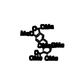 COC(=O)c1cc(Cc2cc(C(=O)OC)c(OC)cc2OC)c(OC)cc1OC